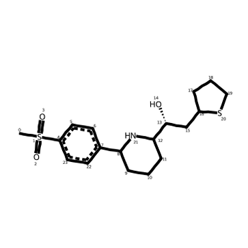 CS(=O)(=O)c1ccc(C2CCCC([C@H](O)CC3CCCS3)N2)cc1